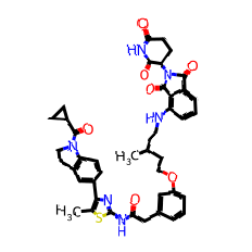 Cc1sc(NC(=O)Cc2cccc(OCCC(C)CCNc3cccc4c3C(=O)N(C3CCC(=O)NC3=O)C4=O)c2)nc1-c1ccc2c(c1)CCN2C(=O)C1CC1